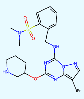 CC(C)c1cnn2c(NCc3ccccc3S(=O)(=O)N(C)C)nc(OC3CCCNC3)nc12